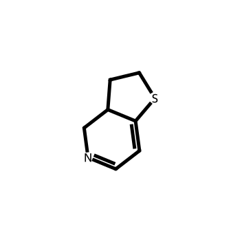 C1=NCC2CCSC2=C1